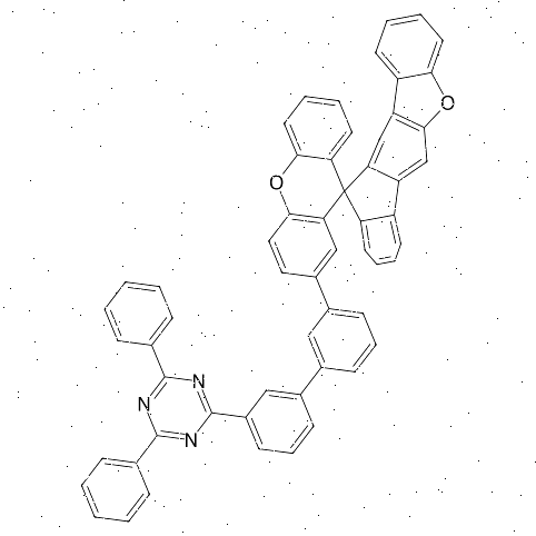 c1ccc(-c2nc(-c3ccccc3)nc(-c3cccc(-c4cccc(-c5ccc6c(c5)C5(c7ccccc7O6)c6ccccc6-c6cc7oc8ccccc8c7cc65)c4)c3)n2)cc1